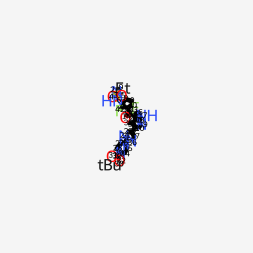 CCN(C)S(=O)(=O)Nc1ccc(F)c(C(=O)c2c[nH]c3ncc(-c4cnc(N5CCN(C(=O)OC(C)(C)C)CC5)nc4)c(C)c23)c1F